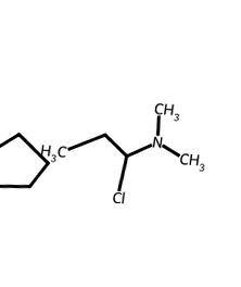 C1CCOC1.CCC(Cl)N(C)C